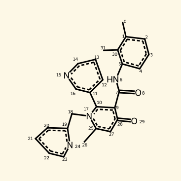 Cc1cccc(NC(=O)c2c(-c3cccnc3)n(Cc3ccccn3)c(C)cc2=O)c1C